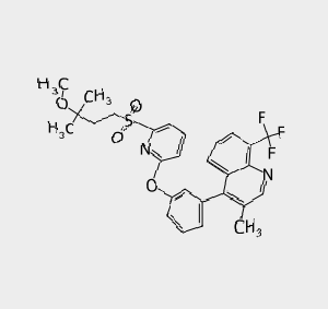 COC(C)(C)CCS(=O)(=O)c1cccc(Oc2cccc(-c3c(C)cnc4c(C(F)(F)F)cccc34)c2)n1